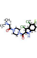 CN(C)CC(=O)N1CCN(C(=O)c2[nH]c3ccc(F)c(Cl)c3c2Cl)CC1